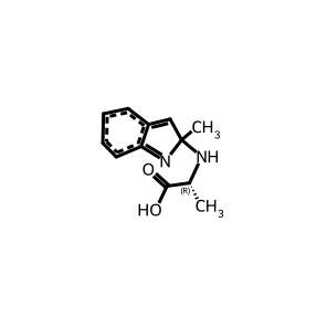 C[C@@H](NC1(C)C=c2ccccc2=N1)C(=O)O